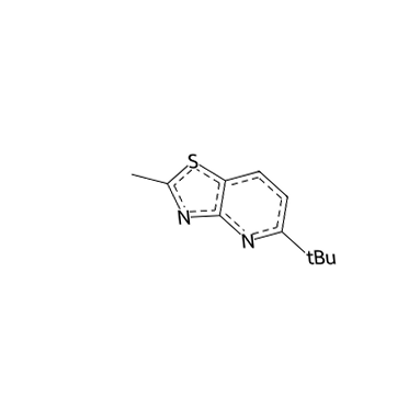 Cc1nc2nc(C(C)(C)C)ccc2s1